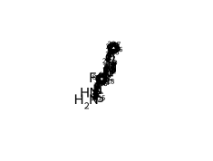 CN1CCN(c2cc(F)c(C=NNC(N)=S)cc2F)C[C@@H]1COCc1ccccc1